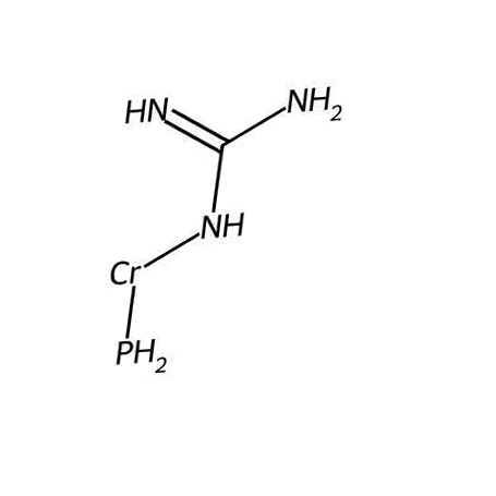 N=C(N)[NH][Cr][PH2]